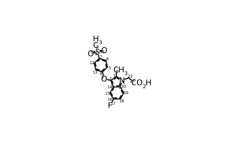 Cc1c(Oc2ccc(S(C)(=O)=O)cc2)c2cc(F)ccc2n1CC(=O)O